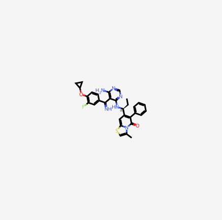 CC[C@H](Nc1ncnc(N)c1C(=N)c1ccc(OC2CC2)c(F)c1)c1cc2scc(C)n2c(=O)c1-c1ccccc1